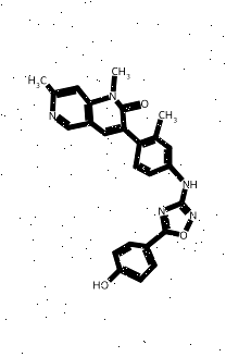 Cc1cc2c(cn1)cc(-c1ccc(Nc3noc(-c4ccc(O)cc4)n3)cc1C)c(=O)n2C